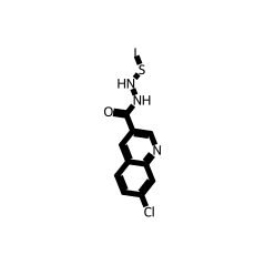 O=C(NNSI)c1cnc2cc(Cl)ccc2c1